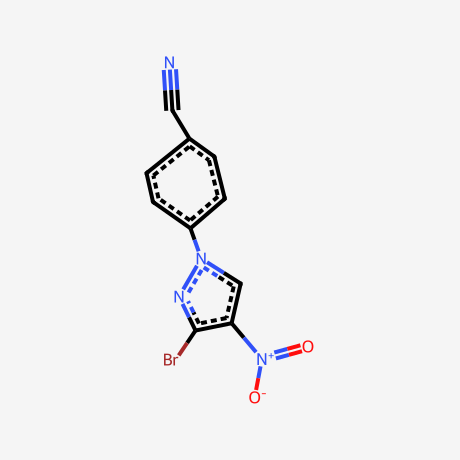 N#Cc1ccc(-n2cc([N+](=O)[O-])c(Br)n2)cc1